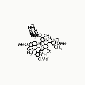 CCC(CCC(CC)CC(C1NCCc2cc(OC)c(C)cc21)C1NCCc2cc(OC)c(C)cc21)CC(C1NCCc2cc(OC)c(C)cc21)C1NCCc2cc(OC)c(C)cc21.Cl.Cl.Cl.Cl.O.O.O.O